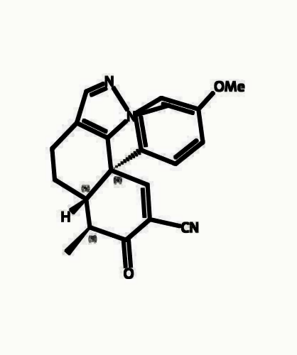 COc1ccc([C@]23C=C(C#N)C(=O)[C@@H](C)[C@@H]2CCc2cnn(C)c23)cc1